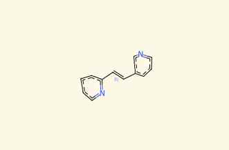 C(=C\c1ccccn1)/c1cccnc1